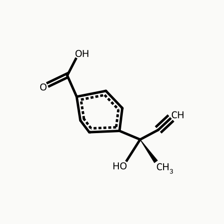 C#C[C@](C)(O)c1ccc(C(=O)O)cc1